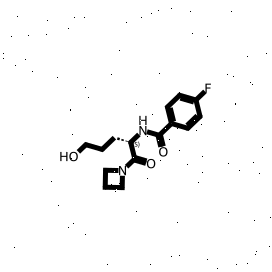 O=C(N[C@@H](CCCO)C(=O)N1CCC1)c1ccc(F)cc1